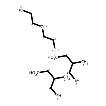 CC(CS)CC(=O)O.CC(CS)CC(=O)O.OCCOCCO